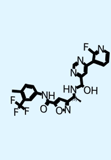 Cc1ccc(NC(=O)c2cc([C@H](C)NC(O)c3cc(-c4cccnc4F)ncn3)no2)cc1C(F)(F)F